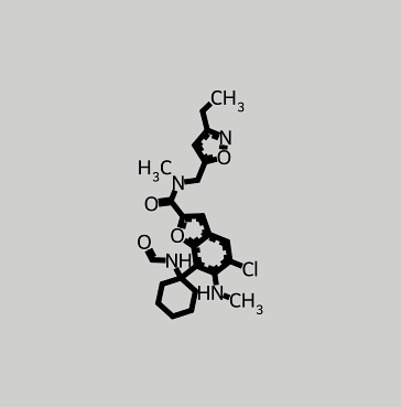 CCc1cc(CN(C)C(=O)c2cc3cc(Cl)c(NC)c(C4(NC=O)CCCCC4)c3o2)on1